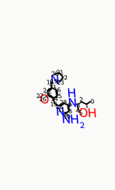 CCC[C@@H](CO)Nc1cc(N)nc(Cc2ccc(CN3CCCC3)cc2OC)c1